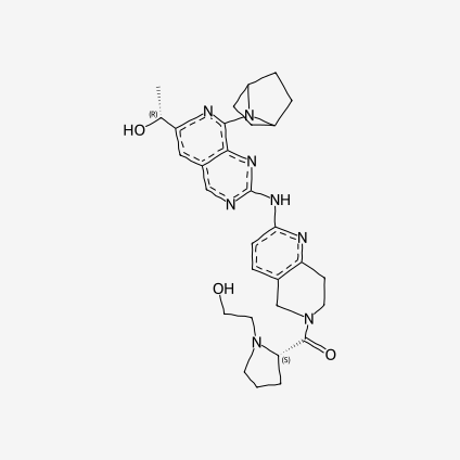 C[C@@H](O)c1cc2cnc(Nc3ccc4c(n3)CCN(C(=O)[C@@H]3CCCN3CCO)C4)nc2c(N2C3CCC2CC3)n1